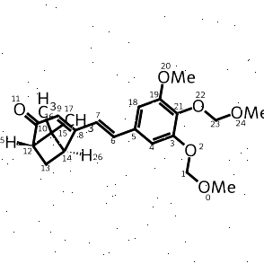 COCOc1cc(C=CC2=CC(=O)[C@H]3C[C@H]2C3(C)C)cc(OC)c1OCOC